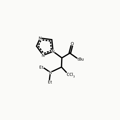 CCN(CC)C(C(C(=O)C(C)(C)C)n1cncn1)C(Cl)(Cl)Cl